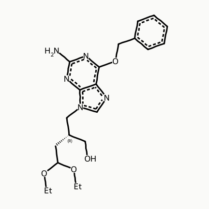 CCOC(C[C@@H](CO)Cn1cnc2c(OCc3ccccc3)nc(N)nc21)OCC